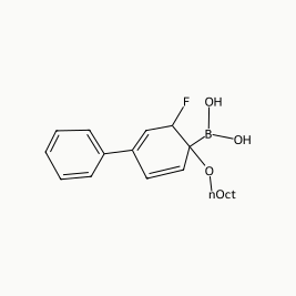 CCCCCCCCOC1(B(O)O)C=CC(c2ccccc2)=CC1F